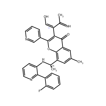 CC(=N)/C(=C\O)c1c(-c2cccnc2)oc2c([C@@H](C)Nc3cccnc3-c3ccccc3F)cc(C)cc2c1=O